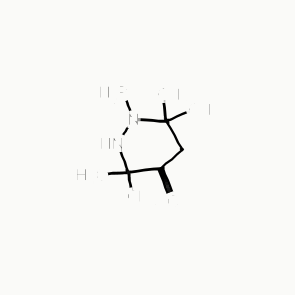 CC1(C)NN(P)C(C)(C)CC1=O